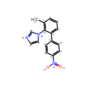 Cc1cccc(-c2ccc([N+](=O)[O-])cc2)c1-n1ccnc1